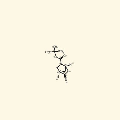 CC(C)(C)OC(=O)N1C[C@H]2C[C@H]1CC2=O